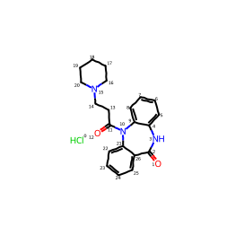 Cl.O=C1Nc2ccccc2N(C(=O)CCN2CCCCC2)c2ccccc21